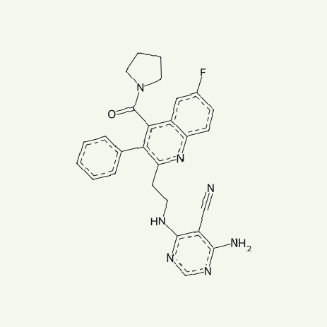 N#Cc1c(N)ncnc1NCCc1nc2ccc(F)cc2c(C(=O)N2CCCC2)c1-c1ccccc1